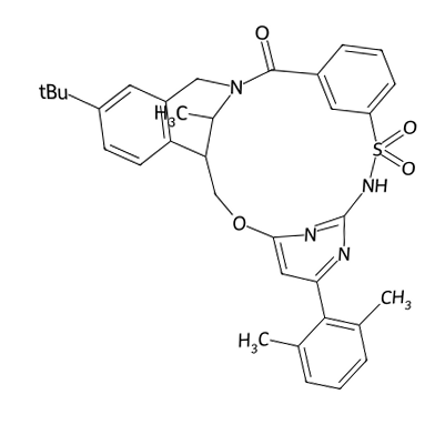 Cc1cccc(C)c1-c1cc2nc(n1)NS(=O)(=O)c1cccc(c1)C(=O)N1Cc3cc(C(C)(C)C)ccc3C(CO2)C1C